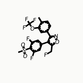 Cc1ccc(-c2noc(CF)c2-c2cc(F)c(S(C)(=O)=O)c(F)c2)cc1OC(F)(F)F